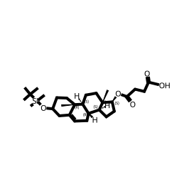 CC(C)(C)[Si](C)(C)OC1CC[C@@]2(C)C(=CC[C@H]3[C@@H]4CC[C@H](OC(=O)CCC(=O)O)[C@@]4(C)CC[C@@H]32)C1